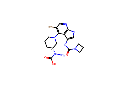 NN(C(=O)O)[C@@H]1CCCN(c2c(Br)cnc3[nH]cc(NC(=O)N4CCC4)c23)C1